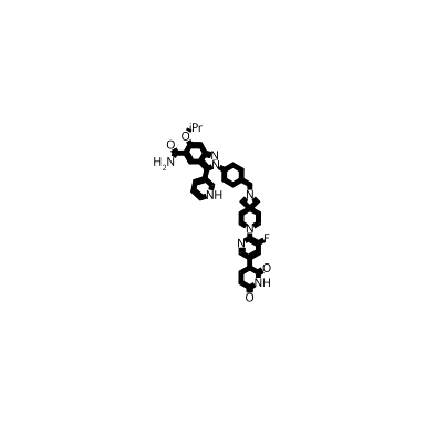 CC(C)Oc1cc2nn(C3CCC(CN4CC5(CCN(c6ncc(C7CCC(=O)NC7=O)cc6F)CC5)C4)CC3)c(C3=CC=CNC3)c2cc1C(N)=O